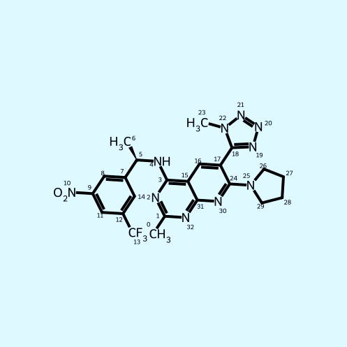 Cc1nc(N[C@H](C)c2cc([N+](=O)[O-])cc(C(F)(F)F)c2)c2cc(-c3nnnn3C)c(N3CCCC3)nc2n1